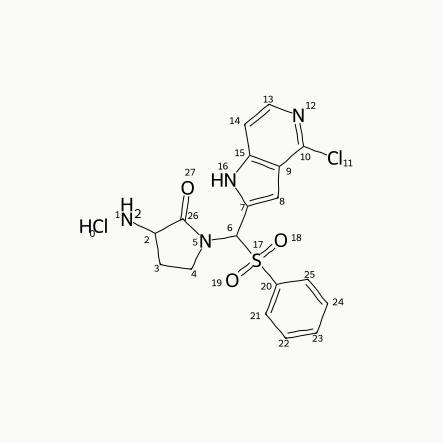 Cl.NC1CCN(C(c2cc3c(Cl)nccc3[nH]2)S(=O)(=O)c2ccccc2)C1=O